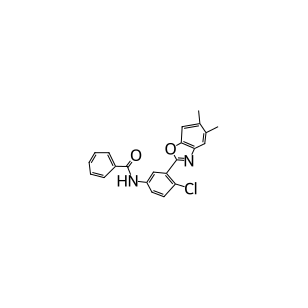 Cc1cc2nc(-c3cc(NC(=O)c4ccccc4)ccc3Cl)oc2cc1C